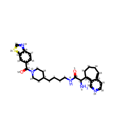 NC(C(=O)NCCCCC1CCN(C(=O)c2ccc3ncsc3c2)CC1)C1=c2cnccc2=CCCC1